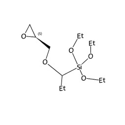 CCO[Si](OCC)(OCC)C(CC)OC[C@@H]1CO1